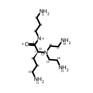 NCCC[N]C(=O)[C@H](CCCN)N(CCN)CCN